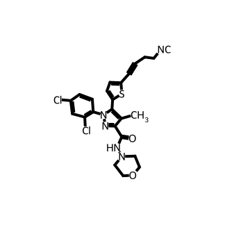 [C-]#[N+]CCC#Cc1ccc(-c2c(C)c(C(=O)NN3CCOCC3)nn2-c2ccc(Cl)cc2Cl)s1